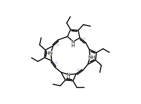 CCC1=C(CC)C2/C=c3\[nH]/c(c(CC)c3CC)=C\C3N/C(=C\c4[nH]c(c(CC)c4CC)/C=C/1N2)C(CC)=C3CC